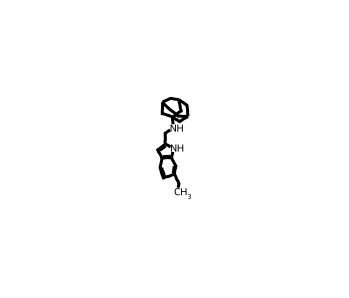 CCc1ccc2cc(CNC34CC5CC(CC(C5)C3)C4)[nH]c2c1